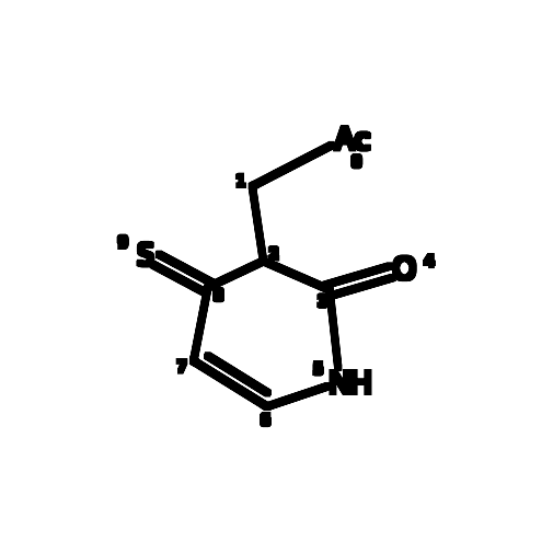 CC(=O)CC1C(=O)NC=CC1=S